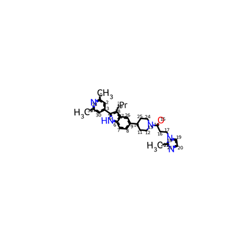 Cc1cc(-c2[nH]c3ccc(C4CCN(C(=O)CCn5ccnc5C)CC4)cc3c2C(C)C)cc(C)n1